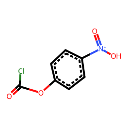 O=C(Cl)Oc1ccc([N+](=O)O)cc1